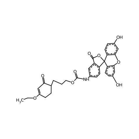 CCOC1=CC(=O)C(CCCOC(=O)Nc2ccc3c(c2)C(=O)OC32c3ccc(O)cc3Oc3cc(O)ccc32)CC1